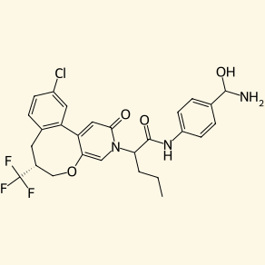 CCCC(C(=O)Nc1ccc(C(N)O)cc1)n1cc2c(cc1=O)-c1cc(Cl)ccc1C[C@@H](C(F)(F)F)CO2